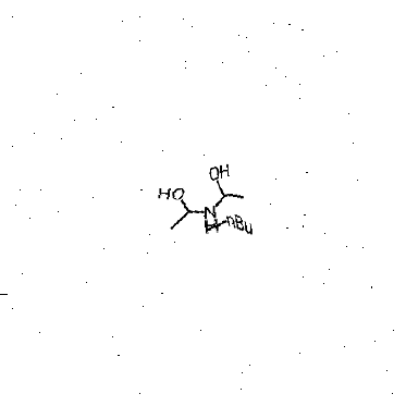 CC(O)NC(C)O.CCCCC